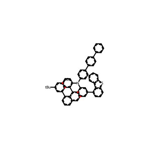 CC(C)(C)c1cc(-c2cccc3cccc(-c4ccccc4N(c4ccc(-c5ccc(-c6ccccc6)cc5)cc4)c4cccc(-c5cccc6sc7ccccc7c56)c4)c23)cc(C(C)(C)C)c1